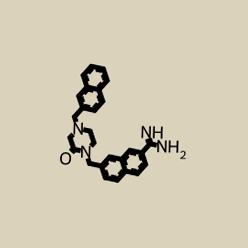 N=C(N)c1ccc2ccc(CN3CCN(Cc4ccc5ccccc5c4)CC3=O)cc2c1